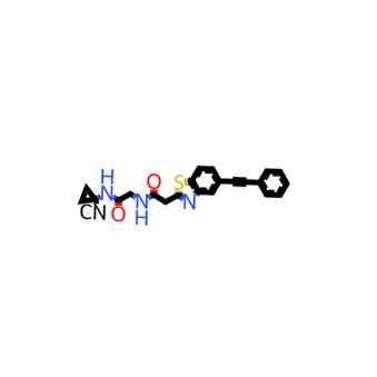 N#CC1(NC(=O)CNC(=O)Cc2nc3cc(C#Cc4ccccc4)ccc3s2)CC1